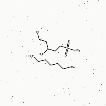 CCCCCCCCCCCCCCCC(=O)O.CNS(=O)(=O)CCN(C)CCO